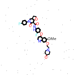 COc1cc2c(Oc3ccc(NC(=O)c4c5c(cn(-c6ccc(F)cc6)c4=O)CCO5)cc3F)ccnc2cc1OCCN1CCC(=O)CC1